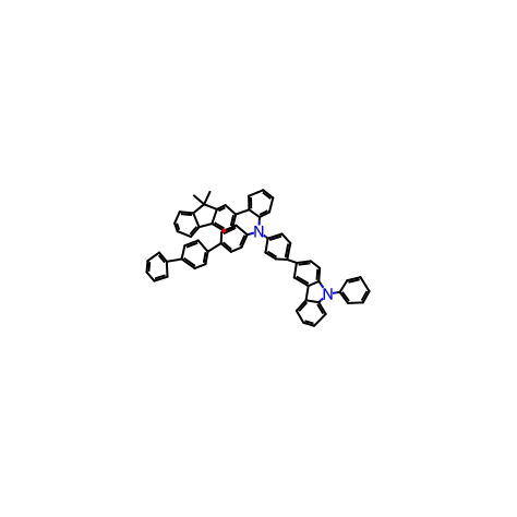 CC1(C)c2ccccc2-c2ccc(-c3ccccc3N(c3ccc(-c4ccc(-c5ccccc5)cc4)cc3)c3ccc(-c4ccc5c(c4)c4ccccc4n5-c4ccccc4)cc3)cc21